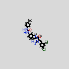 CC(=O)c1ccc(NC(=O)Nc2ccc3c(c2)CN(C(=O)[C@H](N)Cc2ccc(Cl)cc2Cl)C3)cc1